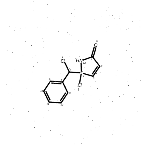 O=C1C=CS(Cl)(C(Cl)c2ccccc2)N1